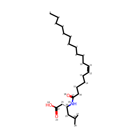 CCCCCCCCCCC/C=C\CCCCC(=O)N[C@@H](CC(=O)O)CC(C)C